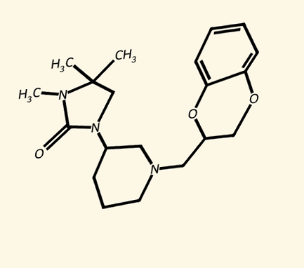 CN1C(=O)N(C2CCCN(CC3COc4ccccc4O3)C2)CC1(C)C